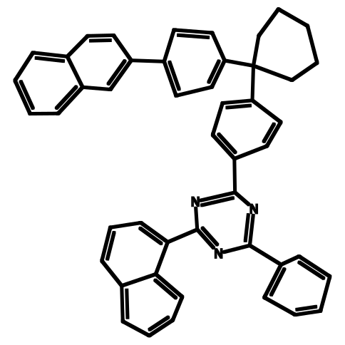 c1ccc(-c2nc(-c3ccc(C4(c5ccc(-c6ccc7ccccc7c6)cc5)CCCCC4)cc3)nc(-c3cccc4ccccc34)n2)cc1